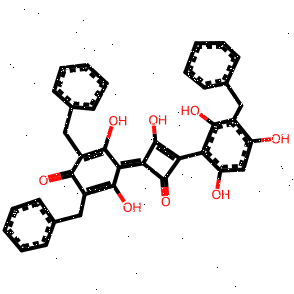 O=C1C(Cc2ccccc2)=C(O)C(=C2C(=O)C(c3c(O)cc(O)c(Cc4ccccc4)c3O)=C2O)C(O)=C1Cc1ccccc1